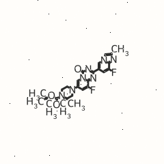 Cc1cn2cc(-c3nc(=O)n4cc(N5CCN(C(=O)OC(C)(C)C)C(C)(C)C5)cc(F)c4n3)cc(F)c2n1